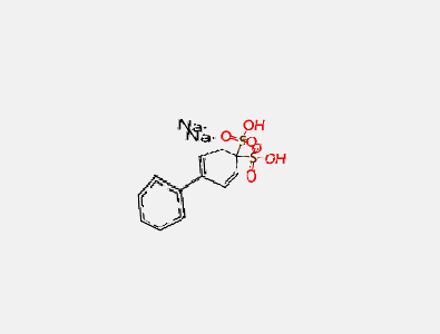 O=S(=O)(O)C1(S(=O)(=O)O)C=CC(c2ccccc2)=CC1.[Na].[Na]